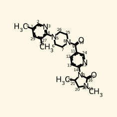 Cc1cnc(N2CCN(C(=O)c3ccc(N4C(=O)N(C)CC4C)nc3)CC2)c(C)c1